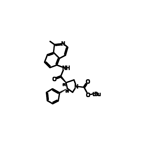 Cc1nccc2c(NC(=O)[C@H]3CN(C(=O)OC(C)(C)C)C[C@@H]3c3ccccc3)cccc12